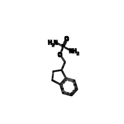 NP(N)(=O)OCC1CCc2ccccc21